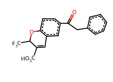 O=C(O)C1=Cc2cc(C(=O)Cc3ccccc3)ccc2OC1C(F)(F)F